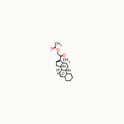 CC(=O)OCC(=O)C1=CC[C@H]2[C@@H]3CCC4CCCC[C@]4(C)[C@H]3CC[C@]12C